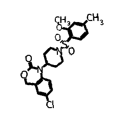 COc1cc(C)ccc1S(=O)(=O)N1CCC(N2C(=O)OCc3cc(Cl)ccc32)CC1